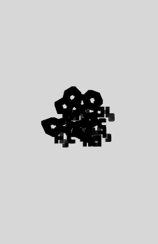 Cc1c(C)n([C]2([Zr][C]3(n4c(C)c(C)c5ccccc54)C=Cc4ccccc43)C=Cc3ccccc32)c2ccccc12.Cl.Cl